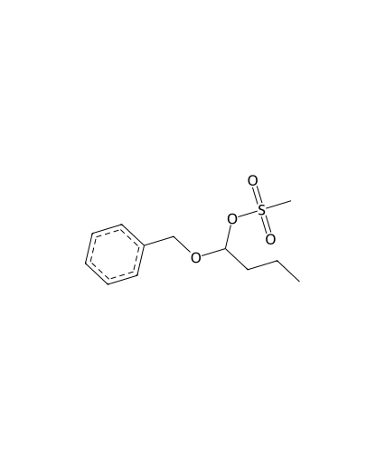 CCCC(OCc1ccccc1)OS(C)(=O)=O